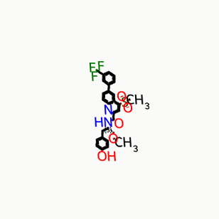 COC[C@H](Cc1ccc(O)cc1)NC(=O)c1cc(S(C)(=O)=O)c2cc(-c3cccc(C(F)(F)F)c3)ccc2n1